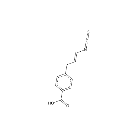 O=C(O)c1ccc(CC=CN=C=S)cc1